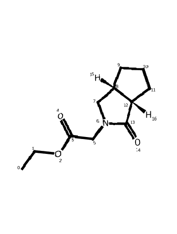 CCOC(=O)CN1C[C@@H]2CCC[C@@H]2C1=O